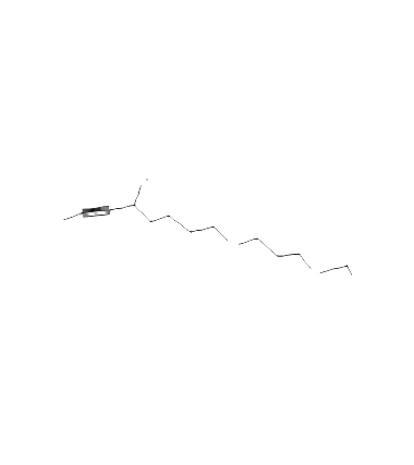 CC#CC(O)CCCCOCCCOCC